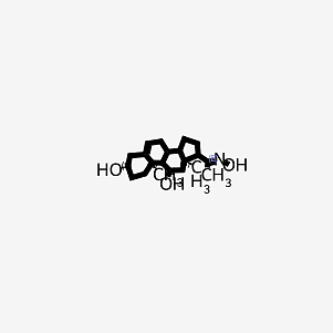 C/C(=N\O)C1CCC2C3CC=C4C[C@@H](O)CC[C@]4(C)C3C(O)C[C@]12C